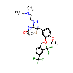 CCN(C)CCNC(=N/C=O)/C(=C/c1ccc(OC)c(OCc2ccc(C(F)(F)F)cc2C(F)(F)F)c1)SC